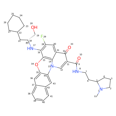 CN1CCCC1CCNC(=O)c1cn2c3c(c(N[C@@H](CO)CC4CCCCC4)c(F)cc3c1=O)Oc1cc3ccccc3cc1-2